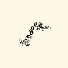 CC[C@H](C)[C@H](NC(=O)OC)C(=O)N1CCC[C@H]1c1ncc(-c2ccc3c(c2)Oc2ccc(-c4cnc([C@@H]5CCCN5C(=O)[C@@H](NC(=O)OC)[C@@H](C)CC)[nH]4)cc2O3)[nH]1